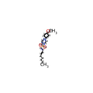 CCCCCC#C/C=C/S(=O)(=O)N1CCN(c2ccc(OC)cc2)CC1